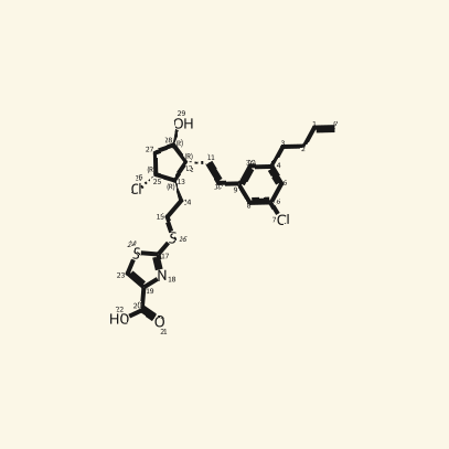 C=CCCc1cc(Cl)cc(C=C[C@@H]2[C@@H](CCSc3nc(C(=O)O)cs3)[C@H](Cl)C[C@H]2O)c1